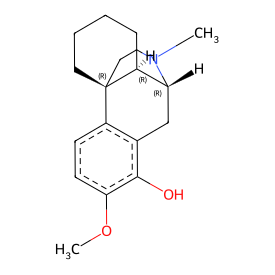 COc1ccc2c(c1O)C[C@@H]1[C@@H]3CCCC[C@]23CCN1C